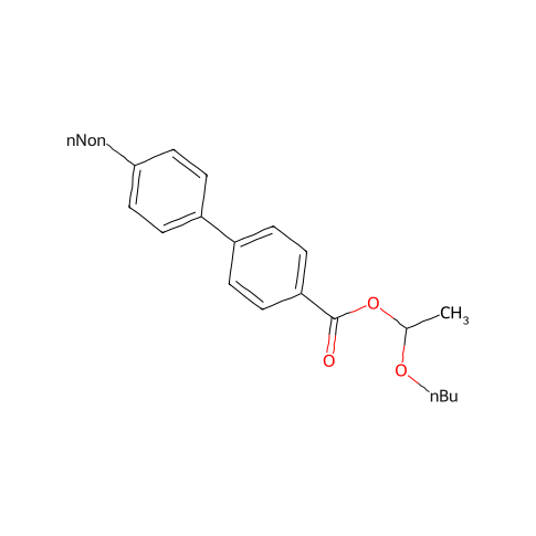 CCCCCCCCCc1ccc(-c2ccc(C(=O)OC(C)OCCCC)cc2)cc1